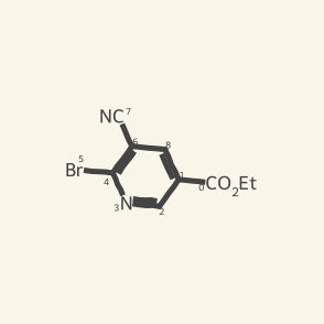 CCOC(=O)c1cnc(Br)c(C#N)c1